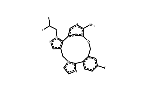 Nc1ncc2cc1OCc1cc(F)ccc1-c1nccn1Cc1cnn(CC(F)F)c1-2